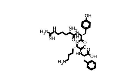 N=C(N)NCCC[C@@H](N)C(=O)N[C@@H](Cc1ccc(O)cc1)C(=O)N[C@@H](CCCCN)C(=O)N[C@@H](Cc1ccccc1)C(=O)O